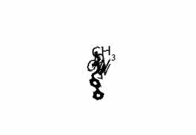 CCOC(=O)c1nnsc1Cc1ccc(-c2ccccc2)cc1